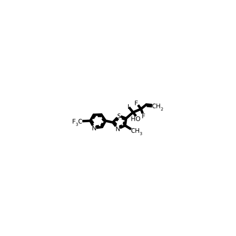 C=CC(F)(F)C(O)(I)c1sc(-c2ccc(C(F)(F)F)nc2)nc1C